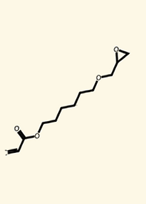 C=CC(=O)OCCC[CH]CCOCC1CO1